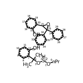 CCCO[SiH2]OC(C)(C)c1ccccc1O.Oc1ccccc1C1OC1(c1ccccc1)c1ccccc1